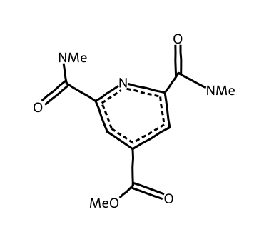 CNC(=O)c1cc(C(=O)OC)cc(C(=O)NC)n1